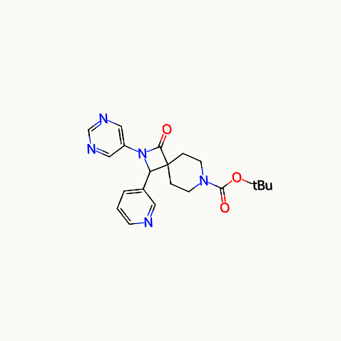 CC(C)(C)OC(=O)N1CCC2(CC1)C(=O)N(c1cncnc1)C2c1cccnc1